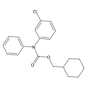 O=C(OCC1CCCCC1)N(c1ccccc1)c1cccc(Cl)c1